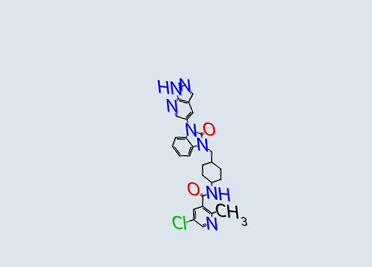 Cc1ncc(Cl)cc1C(=O)NC1CCC(Cn2c(=O)n(-c3cnc4[nH]ncc4c3)c3ccccc32)CC1